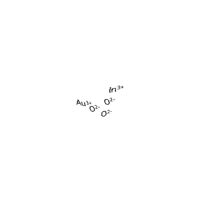 [Au+3].[In+3].[O-2].[O-2].[O-2]